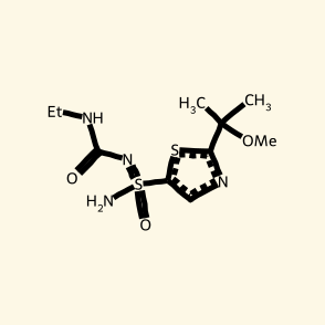 CCNC(=O)N=S(N)(=O)c1cnc(C(C)(C)OC)s1